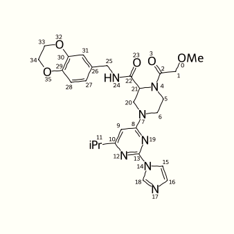 COCC(=O)N1CCN(c2cc(C(C)C)nc(-n3ccnc3)n2)CC1C(=O)NCc1ccc2c(c1)OCCO2